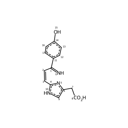 N=C(/C=C\c1nc(CC(=O)O)c[nH]1)c1ccc(O)cc1